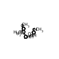 COc1ccc(CC(N)c2cccc(NC(=O)Nc3ccc4c(ccn4C)c3)c2)c(OC)c1